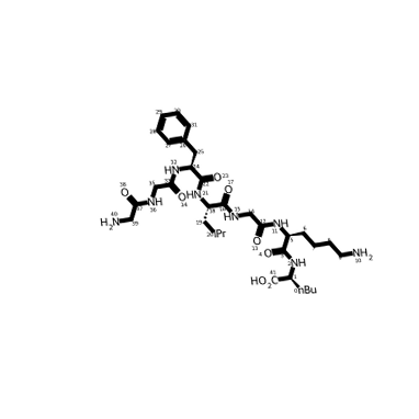 CCCC[C@H](NC(=O)[C@H](CCCCN)NC(=O)CNC(=O)[C@H](CC(C)C)NC(=O)[C@H](Cc1ccccc1)NC(=O)CNC(=O)CN)C(=O)O